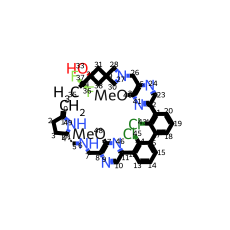 C=C1CC[C@@H](CNCc2ncc(-c3cccc(-c4cccc(-c5cnc(CN6CC7(C6)CC(O)(C(C)(F)F)C7)c(OC)n5)c4Cl)c3Cl)nc2OC)N1